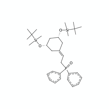 CC(C)(C)[Si](C)(C)O[C@@H]1CC(=CCP(=O)(c2ccccc2)c2ccccc2)C[C@H](O[Si](C)(C)C(C)(C)C)C1